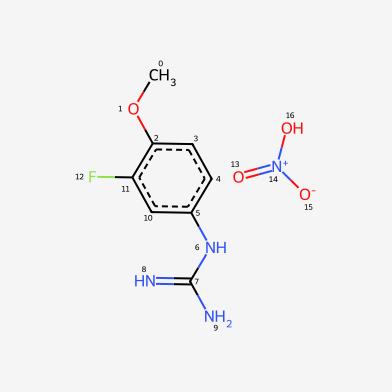 COc1ccc(NC(=N)N)cc1F.O=[N+]([O-])O